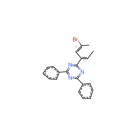 C/C=C(\C=C(/C)Br)c1nc(-c2ccccc2)nc(-c2ccccc2)n1